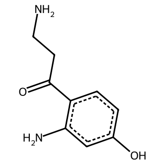 NCCC(=O)c1ccc(O)cc1N